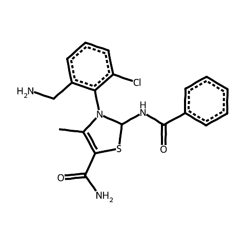 CC1=C(C(N)=O)SC(NC(=O)c2ccccc2)N1c1c(Cl)cccc1CN